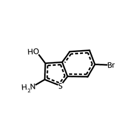 Nc1sc2cc(Br)ccc2c1O